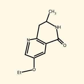 CCOc1cnc2c(c1)C(=O)NC(C)C2